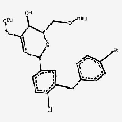 CCCCOCC1OC(c2ccc(Cl)c(Cc3ccc(CC)cc3)c2)C=C(OCCCC)C1O